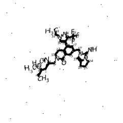 C=N/C(=C\C(=C/C)OC)CN1CCc2c(cc(Cn3cc4n(c3=N)CCC4)cc2-c2cn(CC)nc2C(F)(F)F)C1=O